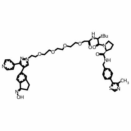 Cc1ncsc1-c1ccc(CNC(=O)[C@@H]2CCCN2C(=O)C(NC(=O)COCCOCCOCCOCCn2cc(-c3ccc4c(c3)CC/C4=N\O)c(-c3ccncc3)n2)C(C)(C)C)cc1